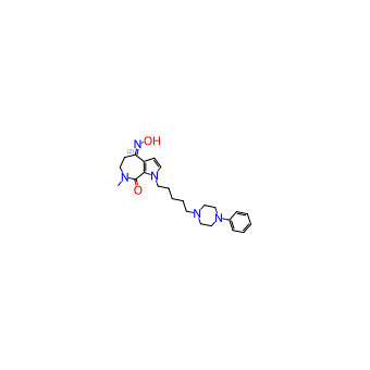 CN1CC/C(=N/O)c2ccn(CCCCCN3CCN(c4ccccc4)CC3)c2C1=O